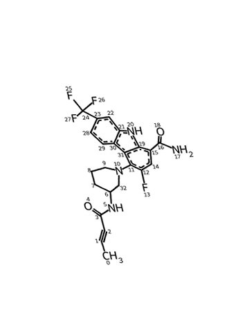 CC#CC(=O)NC1CCCN(c2c(F)cc(C(N)=O)c3[nH]c4cc(C(F)(F)F)ccc4c23)C1